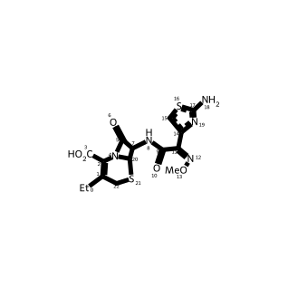 CCC1=C(C(=O)O)N2C(=O)C(NC(=O)/C(=N\OC)c3csc(N)n3)C2SC1